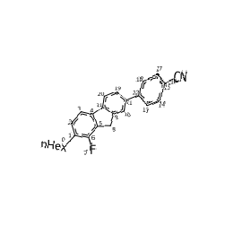 CCCCCCc1ccc2c(c1F)Cc1cc(-c3ccc(C#N)cc3)ccc1-2